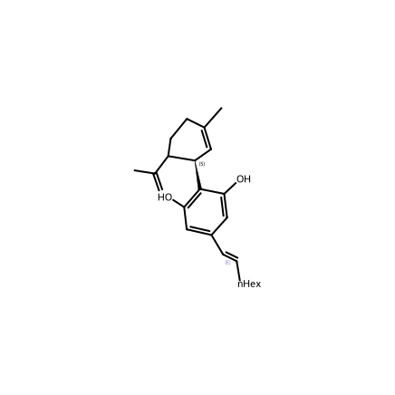 C=C(C)C1CCC(C)=C[C@H]1c1c(O)cc(/C=C/CCCCCC)cc1O